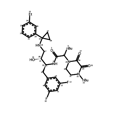 CCCCC(C(=O)N[C@@H](Cc1cc(F)cc(F)c1)[C@H](O)CNC1(c2cccc(CC)c2)CC1)N1CCN(CCCC)C(=O)C1=O